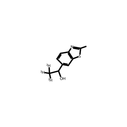 [2H]C([2H])([2H])C(O)c1ccc2nc(C)sc2c1